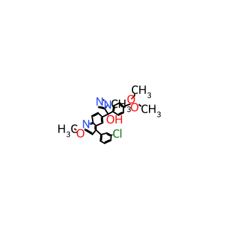 CCOC(OCC)c1ccc(C(O)(c2ccc3nc(OC)cc(-c4cccc(Cl)c4)c3c2)c2cncn2C)cc1